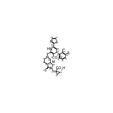 CCOC(=O)C1=C(CN2CCN3C(=S)N(CC4(C(=O)O)CC4)C[C@@H]3C2)NC(c2nccs2)=C[C@H]1c1cccc(F)c1C